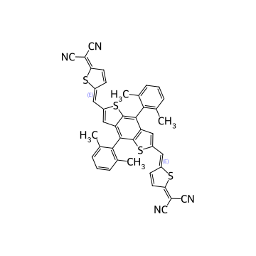 Cc1cccc(C)c1-c1c2cc(/C=c3\ccc(=C(C#N)C#N)s3)sc2c(-c2c(C)cccc2C)c2cc(/C=c3\ccc(=C(C#N)C#N)s3)sc12